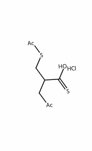 CC(=O)CC(CSC(C)=O)C(O)=S.Cl